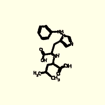 CC(C)CC(NC(Cc1cncn1Nc1ccccc1)C(=O)O)C(=O)O